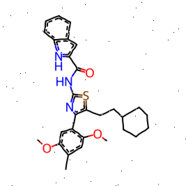 COc1cc(-c2nc(NC(=O)c3cc4ccccc4[nH]3)sc2CCC2CCCCC2)c(OC)cc1C